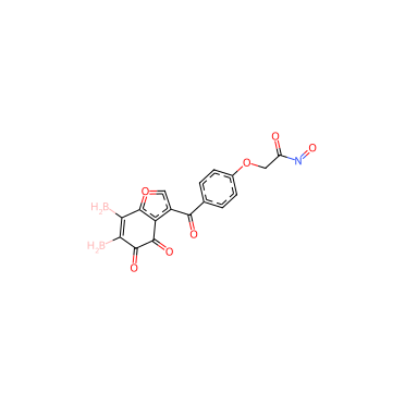 BC1=C(B)c2occ(C(=O)c3ccc(OCC(=O)N=O)cc3)c2C(=O)C1=O